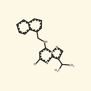 CC(C)c1cnn2c(NCc3cccc4ccccc34)cc(Cl)nc12